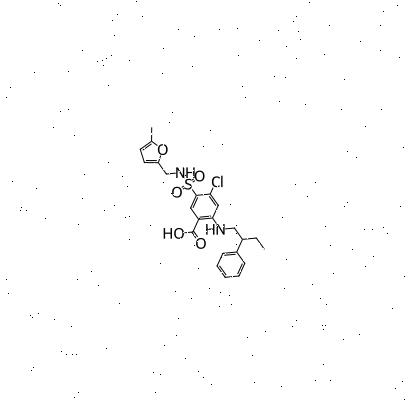 CCC(CNc1cc(Cl)c(S(=O)(=O)NCc2ccc(C)o2)cc1C(=O)O)c1ccccc1